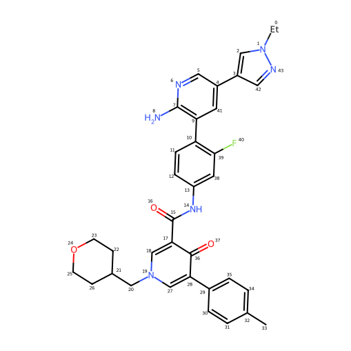 CCn1cc(-c2cnc(N)c(-c3ccc(NC(=O)c4cn(CC5CCOCC5)cc(-c5ccc(C)cc5)c4=O)cc3F)c2)cn1